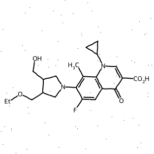 CCOCC1CN(c2c(F)cc3c(=O)c(C(=O)O)cn(C4CC4)c3c2C)CC1CO